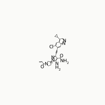 C=CC(=O)N1CC[C@H](n2nc(C#Cc3cc4nncc(C5CC5)c4cc3Cl)c(C(N)=O)c2N)C1